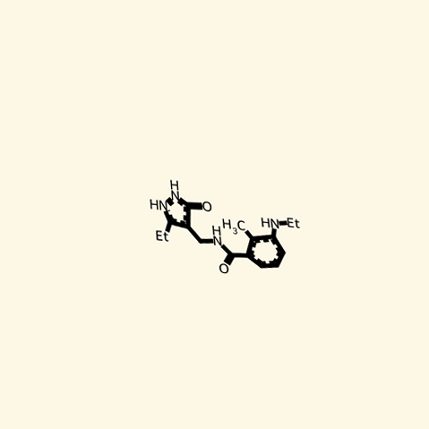 CCNc1cccc(C(=O)NCc2c(CC)[nH][nH]c2=O)c1C